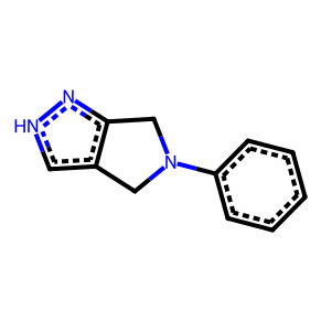 c1ccc(N2Cc3c[nH]nc3C2)cc1